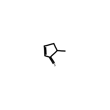 CC1CC=CC1=S